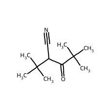 CC(C)(C)C(=O)C(C#N)C(C)(C)C